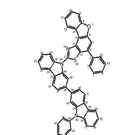 c1ccc(-c2cc3oc4ccccc4c3c3nc(-n4c5ccccc5c5ccc(-c6ccc7c8ccccc8n(-c8ccccc8)c7c6)cc54)sc23)cc1